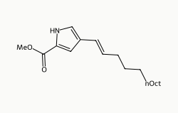 CCCCCCCCCCC/C=C/c1c[nH]c(C(=O)OC)c1